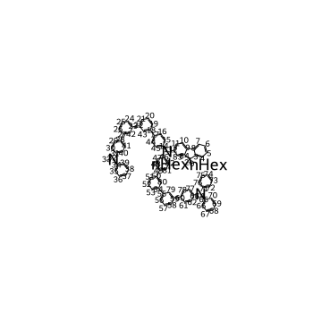 CCCCCCC1(CCCCCC)c2ccccc2-c2ccc(N(c3ccc(-c4cccc(-c5cccc(-c6ccc(N(C)c7ccccc7)cc6)c5)c4)cc3)c3ccc(-c4cccc(-c5cccc(-c6ccc(N(c7ccccc7)c7ccccc7)cc6)c5)c4)cc3)cc21